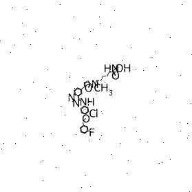 CN(CCCCCC(=O)NO)c1ccc(-c2ccc3ncnc(Nc4ccc(OCc5cccc(F)c5)c(Cl)c4)c3c2)o1